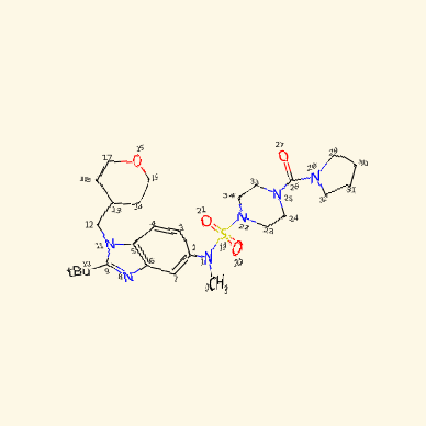 CN(c1ccc2c(c1)nc(C(C)(C)C)n2CC1CCOCC1)S(=O)(=O)N1CCN(C(=O)N2CCCC2)CC1